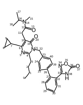 CCCCc1nc(C2CC2)c(CC(=O)N(C)C(C)C)c(=O)n1Cc1ccc(-c2ccccc2-c2noc(=O)[nH]2)cc1